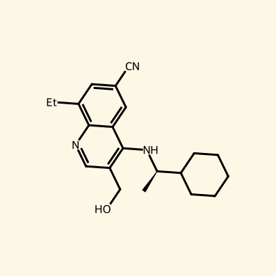 CCc1cc(C#N)cc2c(N[C@H](C)C3CCCCC3)c(CO)cnc12